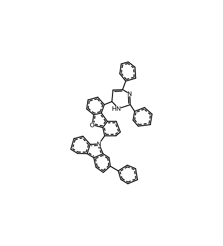 C1=C(c2ccccc2)N=C(c2ccccc2)NC1c1cccc2oc3c(-n4c5ccccc5c5ccc(-c6ccccc6)cc54)cccc3c12